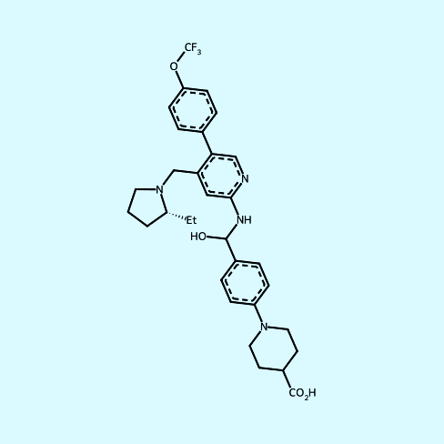 CC[C@@H]1CCCN1Cc1cc(NC(O)c2ccc(N3CCC(C(=O)O)CC3)cc2)ncc1-c1ccc(OC(F)(F)F)cc1